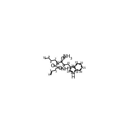 C=CCS(=O)(=O)N(CCCC)C(=O)C(N)Cc1c[nH]c2ccccc12.N